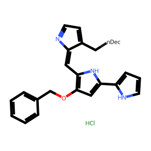 CCCCCCCCCCCC1=CC=NC1=Cc1[nH]c(-c2ccc[nH]2)cc1OCc1ccccc1.Cl